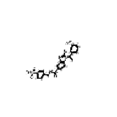 CCS(=O)(=O)c1ccc(CNC(=O)c2ccc3c(c2)nc(C(F)(F)F)n3C(C)c2cccc(C#N)c2)cc1